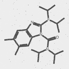 Cc1cc2nc(P(C(C)C)C(C)C)n(C(=O)N(C(C)C)C(C)C)c2cc1C